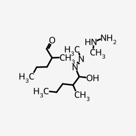 CCCC(C)C(O)/N=N/C.CCCC(C)C=O.CNN